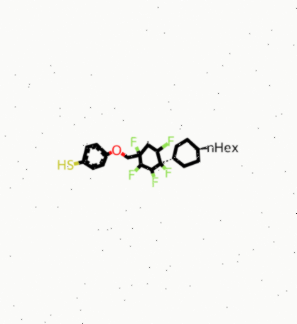 CCCCCC[C@H]1CC[C@H](C2(F)C(F)[CH]C(F)(COc3ccc(S)cc3)C(F)C2F)CC1